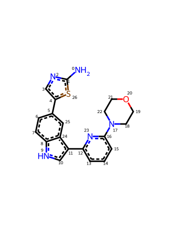 Nc1ncc(-c2ccc3[nH]cc(-c4cccc(N5CCOCC5)n4)c3c2)s1